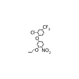 C=CCOc1cc(Oc2ccc(C(F)(F)F)cc2Cl)ccc1[N+](=O)[O-]